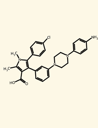 Cc1c(C(=O)O)c(-c2cccc(N3CCN(c4ccc(N)cc4)CC3)c2)c(-c2ccc(Cl)cc2)n1C